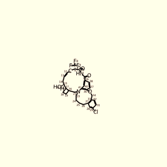 O=C1NS(=O)(=O)[C@@H](C(F)(F)F)C/C=C\C[C@H](O)[C@@H]2CCC2CN2CCCCc3cc(Cl)ccc3COc3ccc1cc32